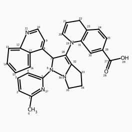 Cc1cccc(N2C(c3ccnc4ccccc34)C(N3C=CCc4ccc(C(=O)O)cc43)=C3CCCN32)n1